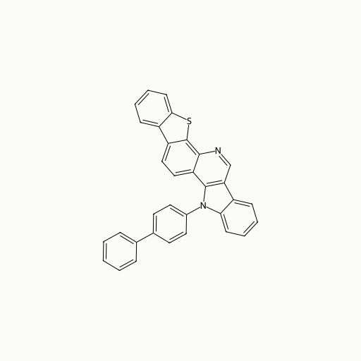 c1ccc(-c2ccc(-n3c4ccccc4c4cnc5c(ccc6c7ccccc7sc65)c43)cc2)cc1